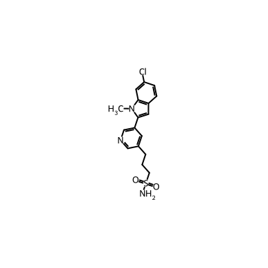 Cn1c(-c2cncc(CCCS(N)(=O)=O)c2)cc2ccc(Cl)cc21